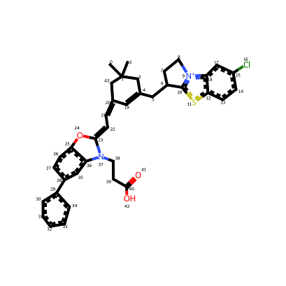 CC1(C)CC(CC2CC[n+]3c2sc2ccc(Cl)cc23)=C/C(=C\C=C2/Oc3ccc(-c4ccccc4)cc3N2CCC(=O)O)C1